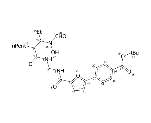 CCCCCC(C(=O)NCNC(=O)c1ccc(-c2ccc(C(=O)OC(C)(C)C)cc2)o1)C(CC)N(O)C=O